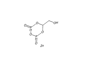 O=[PH]1OC(CO)O[PH](=O)O1.[Zn]